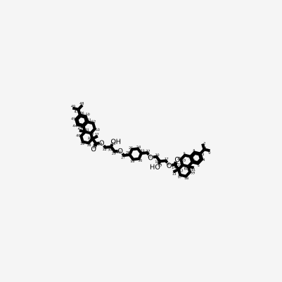 CC(C)c1ccc2c(c1)CCC1C(C)(C(=O)OCC(O)COCC3CCC(COCC(O)COC(=O)C4(C)CCCC5(C)c6ccc(C(C)C)cc6CCC45)CC3)CCCC21C